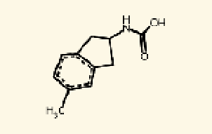 Cc1ccc2c(c1)CC(NC(=O)O)C2